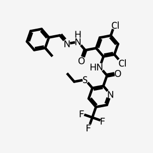 CCSc1cc(C(F)(F)F)cnc1C(=O)Nc1c(Cl)cc(Cl)cc1C(=O)NN=Cc1ccccc1C